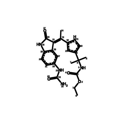 CCOC(=O)NC(C)(C)c1c[nH]c(C(C)=C2C(=O)Nc3ccc(NC(N)=O)cc32)c1